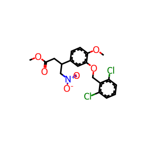 COC(=O)CC(C[N+](=O)[O-])c1ccc(OC)c(OCc2c(Cl)cccc2Cl)c1